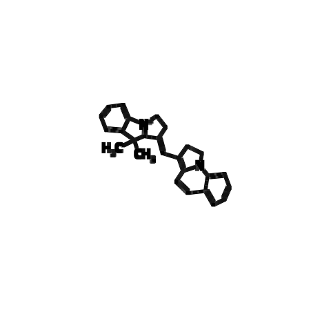 CC1(C)C2=[N+](CCC2=CC2=C3C=Cc4ccccc4N3CC2)c2ccccc21